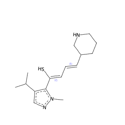 CC(C)c1cnn(C)c1/C(S)=C/C=C/C1CCCNC1